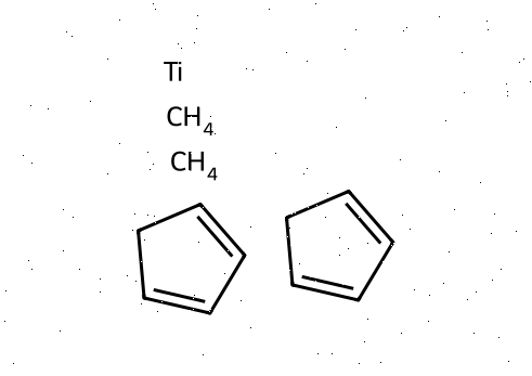 C.C.C1=CCC=C1.C1=CCC=C1.[Ti]